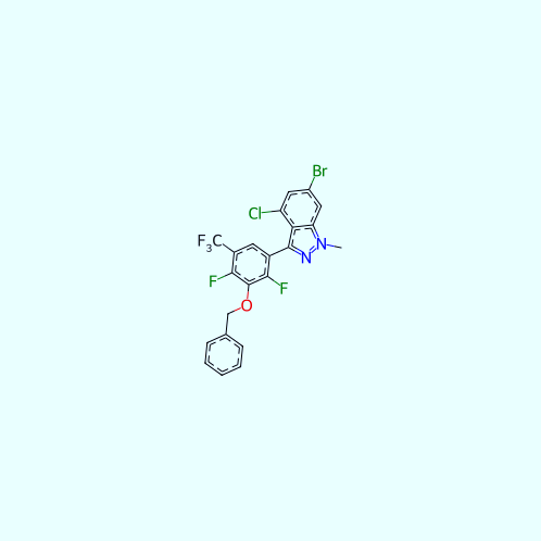 Cn1nc(-c2cc(C(F)(F)F)c(F)c(OCc3ccccc3)c2F)c2c(Cl)cc(Br)cc21